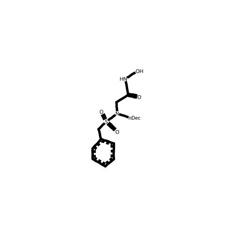 CCCCCCCCCCN(CC(=O)NO)S(=O)(=O)Cc1ccccc1